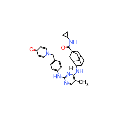 Cc1cnc(Nc2ccc(Cn3ccc(=O)cc3)cc2)nc1N[C@H]1C2CC3CC1C[C@@](C(=O)NC1CC1)(C3)C2